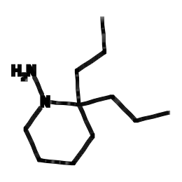 CCCC1(CCC)CCCCN1N